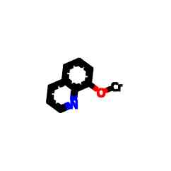 [Cr][O]c1cccc2cccnc12